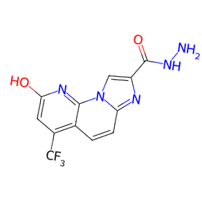 NNC(=O)c1cn2c(ccc3c(C(F)(F)F)cc(O)nc32)n1